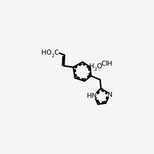 Cl.O.O=C(O)C=Cc1ccc(Cc2ncc[nH]2)cc1